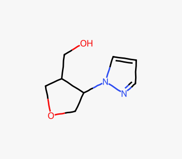 OCC1COCC1n1cccn1